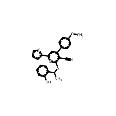 COc1ccc(-c2cc(-c3cccs3)nc(SC(C)c3ccccc3O)c2C#N)cc1